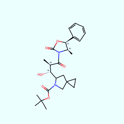 C[C@@H]1[C@H](c2ccccc2)OC(=O)N1C(=O)[C@H](C)[C@@H](O)C1CC2(CC2)CN1C(=O)OC(C)(C)C